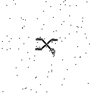 CCCCCCCCC[N+](C)(CCCCCCCCC)CCCCCCCCC.[Cl-]